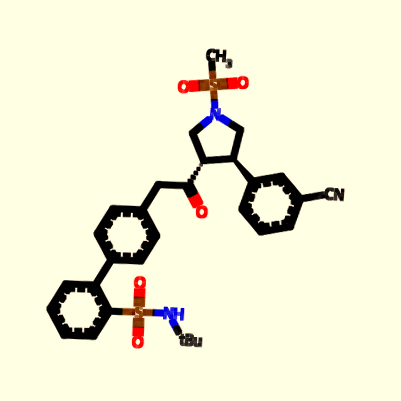 CC(C)(C)NS(=O)(=O)c1ccccc1-c1ccc(CC(=O)[C@@H]2CN(S(C)(=O)=O)C[C@H]2c2cccc(C#N)c2)cc1